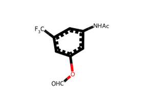 CC(=O)Nc1cc(OC=O)cc(C(F)(F)F)c1